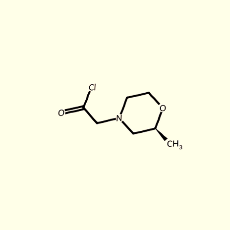 C[C@H]1CN(CC(=O)Cl)CCO1